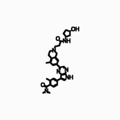 Cc1cc(-c2c[nH]c3ncc(-c4cc(C)c5c(c4)CN(CCC(=O)N[C@H]4CC[C@H](O)C4)CC5)nc23)ccc1C(=O)N(C)C